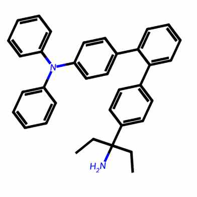 CCC(N)(CC)c1ccc(-c2ccccc2-c2ccc(N(c3ccccc3)c3ccccc3)cc2)cc1